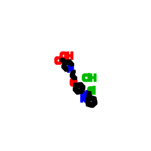 Cl.O=C(O)C1CCN(CCCOc2ccc(-n3nc4ccccc4c3Cl)cc2)CC1